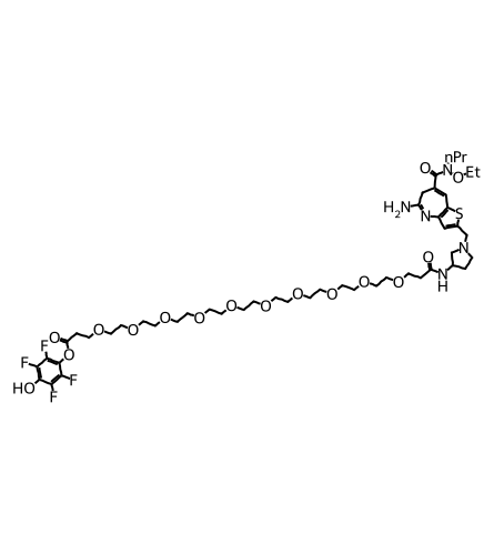 CCCN(OCC)C(=O)C1=Cc2sc(CN3CCC(NC(=O)CCOCCOCCOCCOCCOCCOCCOCCOCCOCCOCCC(=O)Oc4c(F)c(F)c(O)c(F)c4F)C3)cc2N=C(N)C1